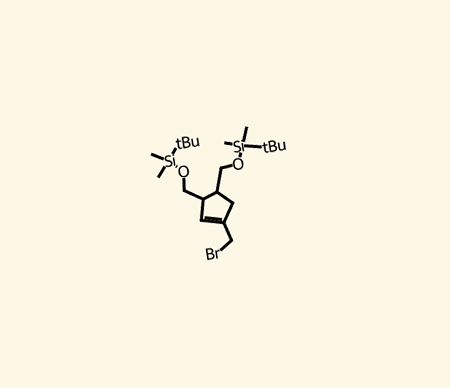 CC(C)(C)[Si](C)(C)OCC1C=C(CBr)CC1CO[Si](C)(C)C(C)(C)C